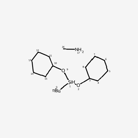 CCCC[SiH](OC1CCCCC1)OC1CCCCC1.CN